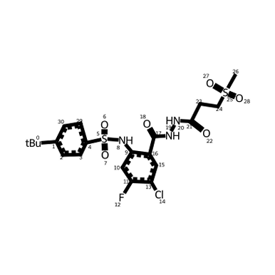 CC(C)(C)c1ccc(S(=O)(=O)Nc2cc(F)c(Cl)cc2C(=O)NNC(=O)CCS(C)(=O)=O)cc1